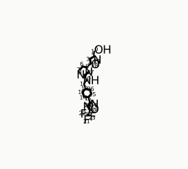 OCc1cc(-c2ccnc(NCc3ccc(-c4noc(C(F)(F)F)n4)cc3)n2)on1